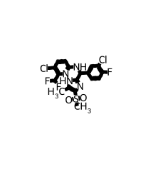 Cc1[nH]c(C(Nc2ccc(Cl)c(C(F)F)n2)c2ccc(F)c(Cl)c2)nc1S(C)(=O)=O